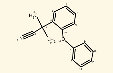 CC(C)(C#N)c1ccccc1Oc1ccccc1